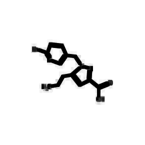 CCCc1cc(C(=O)O)nn1Cc1ccc(Br)nc1